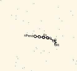 C=C(CO)C(=O)OCCOc1ccc(-c2ccc(C3CCC(C4CCC(CCCCC)CC4)CC3)cc2)c(CC)c1